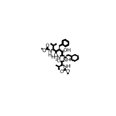 COC(=O)N[C@H](C(=O)NN(CC1CCCCC1)C(N)[C@H](O)[C@H](Cc1ccccc1)C(=O)[C@@H](NC(=O)OC)C(C)C)C(C)C